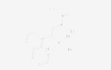 C=C(CC(c1cccc2ccccc12)C(C)(C)C)C(=O)O